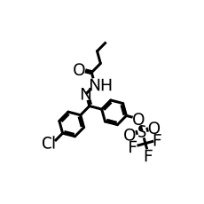 CCCC(=O)NN=C(c1ccc(Cl)cc1)c1ccc(OS(=O)(=O)C(F)(F)F)cc1